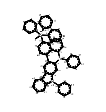 C[SH](c1ccccc1)(c1ccccc1)(c1ccccc1)c1ccc2c3c(cccc13)N(c1ccccc1)c1cc3c(cc1-2)c1ccccc1n3-c1ccccc1